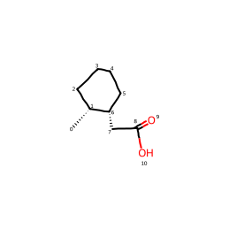 C[C@@H]1CCCC[C@@H]1CC(=O)O